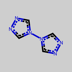 c1nncn1-n1cnnc1